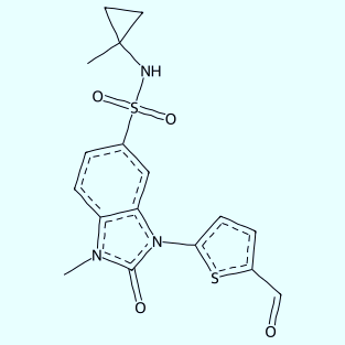 Cn1c(=O)n(-c2ccc(C=O)s2)c2cc(S(=O)(=O)NC3(C)CC3)ccc21